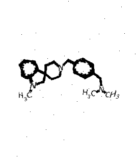 CN(C)Cc1ccc(CN2CCC3(CC2)CN(C)c2ccccc23)cc1